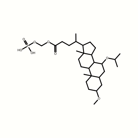 COC1CCC2(C)C(C1)CC(OC(C)C)C1C2CCC2(C)C(C(C)CCC(=O)OCOP(=O)(O)O)CCC12